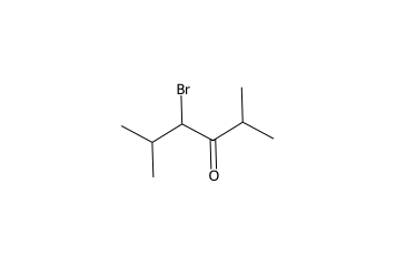 CC(C)C(=O)C(Br)C(C)C